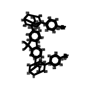 CC1(C)c2cc(C34CC5CC(CC(c6ccc(Br)cc6)(C5)C3)C4)ccc2-c2ccc(C34CC5CC(CC(c6ccc(Br)cc6)(C5)C3)C4)cc21